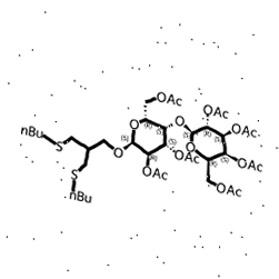 CCCCSCC(CO[C@H]1O[C@H](COC(C)=O)[C@H](O[C@@H]2O[C@H](COC(C)=O)[C@H](OC(C)=O)[C@H](OC(C)=O)[C@H]2OC(C)=O)[C@H](OC(C)=O)[C@H]1OC(C)=O)CSCCCC